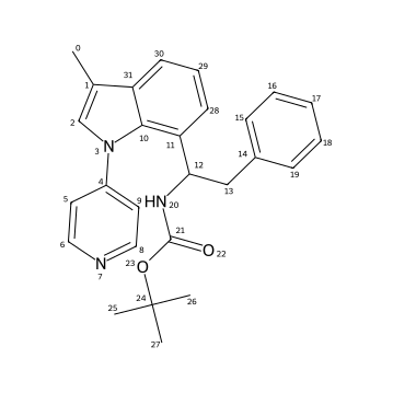 Cc1cn(-c2ccncc2)c2c(C(Cc3ccccc3)NC(=O)OC(C)(C)C)cccc12